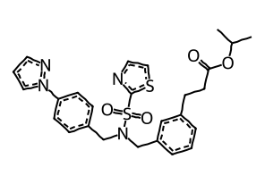 CC(C)OC(=O)CCc1cccc(CN(Cc2ccc(-n3cccn3)cc2)S(=O)(=O)c2nccs2)c1